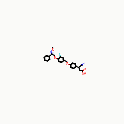 CO/N=C(\COc1ccc(COc2ccc(C(C#N)CC(=O)O)cc2)cc1F)c1ccccc1